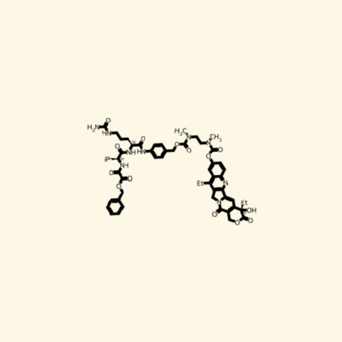 CCc1c2c(nc3ccc(OC(=O)N(C)CCN(C)C(=O)OCc4ccc(NC(=O)[C@H](CCCNC(N)=O)NC(=O)[C@@H](NC(=O)C(=O)OCc5ccccc5)C(C)C)cc4)cc13)-c1cc3c(c(=O)n1C2)COC(=O)[C@]3(O)CC